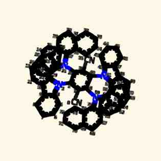 N#Cc1c(-n2c3ccccc3c3ccc4ccccc4c32)c(-n2c3ccccc3c3ccc4ccccc4c32)c(C#N)c(-n2c3ccccc3c3ccc4ccccc4c32)c1-n1c2ccccc2c2ccc3ccccc3c21